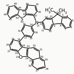 CC1(C)c2ccccc2-c2ccc(N(c3ccc(-c4cccc5oc6c7ccccc7ccc6c45)cc3)c3cccc4c3sc3ccccc34)cc21